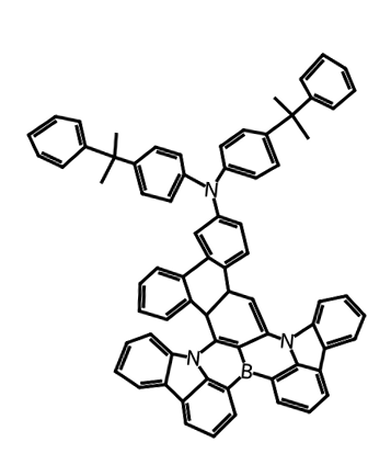 CC(C)(c1ccccc1)c1ccc(N(c2ccc(C(C)(C)c3ccccc3)cc2)c2ccc3c(c2)-c2ccccc2C2C4=C5B(c6cccc7c8ccccc8n(c67)C5=CC32)c2cccc3c5ccccc5n4c23)cc1